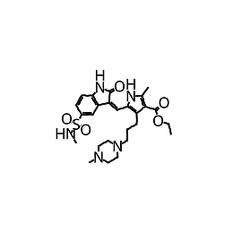 CCOC(=O)c1c(C)[nH]c(C=C2C(=O)Nc3ccc(S(=O)(=O)NC)cc32)c1CCCN1CCN(C)CC1